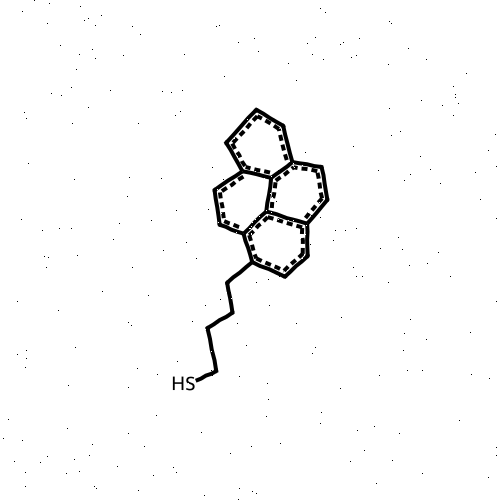 SCCCCc1ccc2ccc3cccc4ccc1c2c34